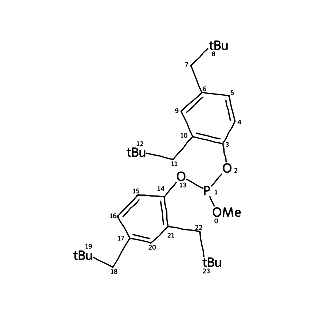 COP(Oc1ccc(CC(C)(C)C)cc1CC(C)(C)C)Oc1ccc(CC(C)(C)C)cc1CC(C)(C)C